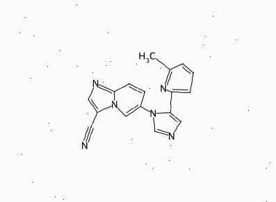 Cc1cccc(-c2cncn2-c2ccc3ncc(C#N)n3c2)n1